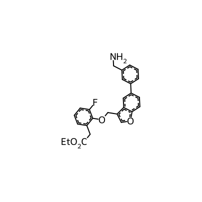 CCOC(=O)Cc1cccc(F)c1OCc1coc2ccc(-c3cccc(CN)c3)cc12